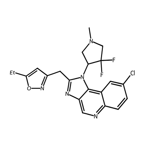 CCc1cc(Cc2nc3cnc4ccc(Cl)cc4c3n2C2CN(C)CC2(F)F)no1